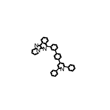 c1ccc(-c2cc(-c3ccc(-c4cccc(-c5nc6c(nc7ccccn76)c6ccccc56)c4)cc3)cc(-c3ccccc3)n2)cc1